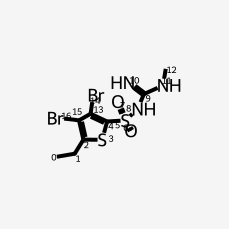 CCc1sc(S(=O)(=O)NC(=N)NC)c(Br)c1Br